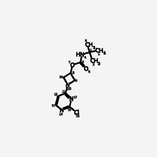 CC(C)(C)NC(=O)OC1CN(c2ccnc(Cl)n2)C1